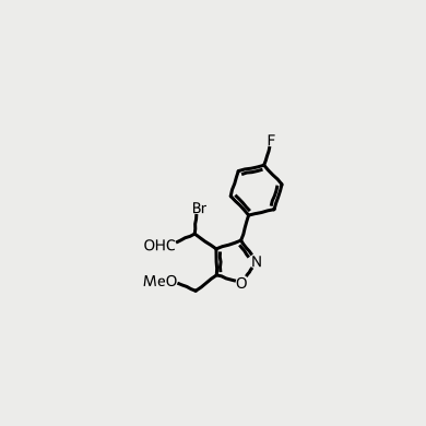 COCc1onc(-c2ccc(F)cc2)c1C(Br)C=O